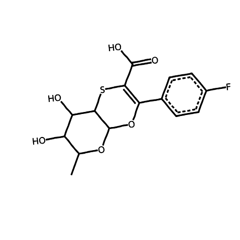 CC1OC2OC(c3ccc(F)cc3)=C(C(=O)O)SC2C(O)C1O